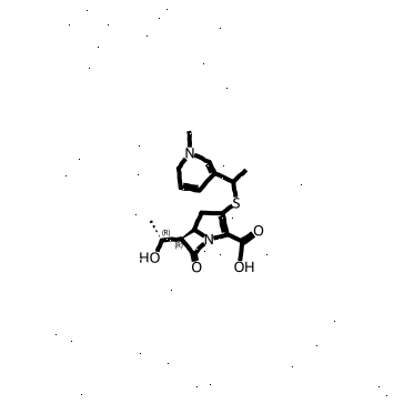 CC(SC1=C(C(=O)O)N2C(=O)[C@@H]([C@@H](C)O)C2C1)C1=CN(C)CC=C1